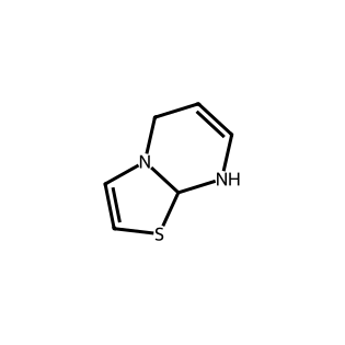 C1=CNC2SC=CN2C1